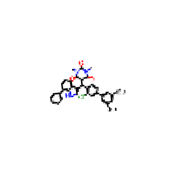 CN1C(=O)C(C(c2ccc(-c3cc(C(C)(C)C)cc(C(C)(C)C)c3)cc2Cl)c2c[nH]c3c(-c4ccccc4)cccc23)C(=O)N(C)C1=O